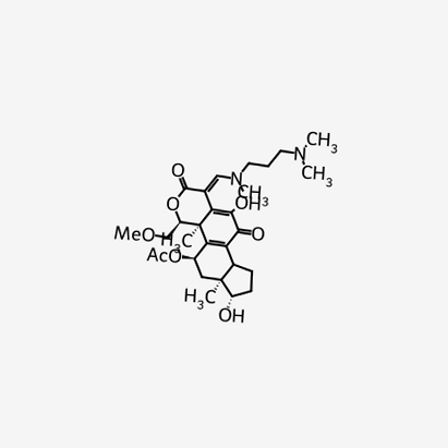 COC[C@H]1OC(=O)/C(=C/N(C)CCCN(C)C)C2=C(O)C(=O)C3=C([C@H](OC(C)=O)C[C@@]4(C)C3CC[C@@H]4O)[C@]21C